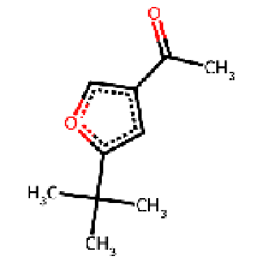 CC(=O)c1coc(C(C)(C)C)c1